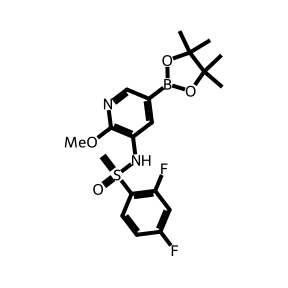 C=S(=O)(Nc1cc(B2OC(C)(C)C(C)(C)O2)cnc1OC)c1ccc(F)cc1F